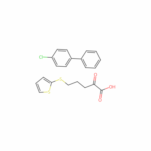 Clc1ccc(-c2ccccc2)cc1.O=C(O)C(=O)CCCSc1cccs1